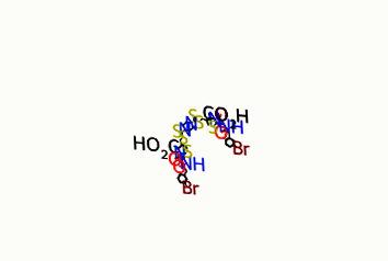 O=C(Cc1cccc(Br)c1)NC1C(=O)N2C(C(=O)O)=C(CSC(=S)N3CCN(C(=S)SCC4=C(C(=O)O)N5C(=O)C(NC(=O)Cc6cccc(Br)c6)C5SC4)CC3)CSC12